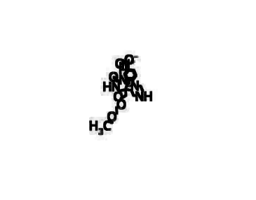 CCOCCOCCC1(C2CNCCN2c2ccc([N+](=O)[O-])cc2)C(=O)NC(=O)NC1=O